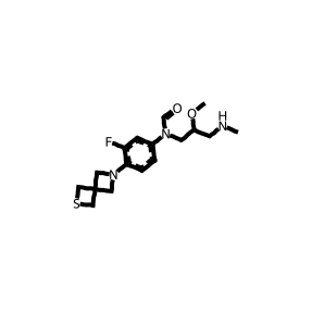 CNCC(CN(C=O)c1ccc(N2CC3(CSC3)C2)c(F)c1)OC